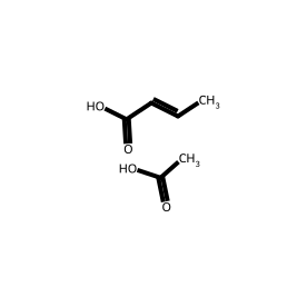 C/C=C/C(=O)O.CC(=O)O